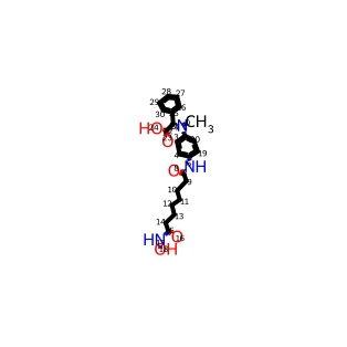 CN(c1ccc(NC(=O)CCCCCCC(=O)NO)cc1)[C@H](C(=O)O)c1ccccc1